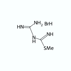 Br.CSC(=N)NC(=N)N